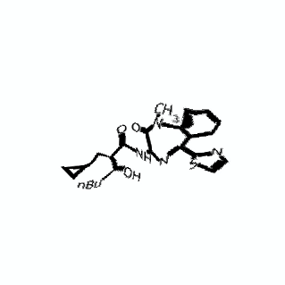 CCCC[C@H](O)[C@@H](CC1CC1)C(=O)NC1N=C(c2nccs2)c2ccccc2N(C)C1=O